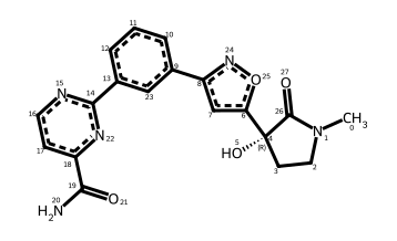 CN1CC[C@@](O)(c2cc(-c3cccc(-c4nccc(C(N)=O)n4)c3)no2)C1=O